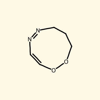 C1=COOCCCN=N1